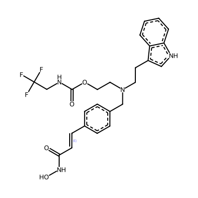 O=C(/C=C/c1ccc(CN(CCOC(=O)NCC(F)(F)F)CCc2c[nH]c3ccccc23)cc1)NO